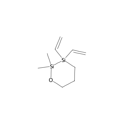 C=C[Si]1(C=C)CCCO[Si]1(C)C